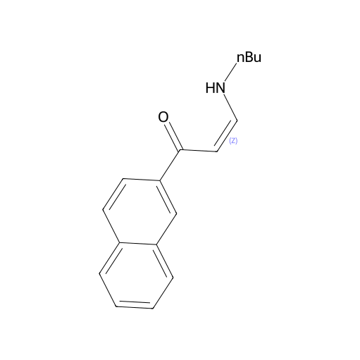 CCCCN/C=C\C(=O)c1ccc2ccccc2c1